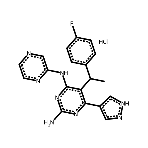 CC(c1ccc(F)cc1)c1c(Nc2cnccn2)nc(N)nc1-c1cn[nH]c1.Cl